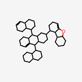 C1=CC2CCCC(C3C4CCCC=C4C(C4CCCC5CCCCC54)C4CCC(C5CCC=C6OC7CCCCC7C65)CC43)C2CC1